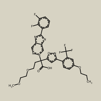 CCCOc1ccc(-c2cc(C(CCOCCOC)(C(=O)O)n3cc4nc(-c5cccc(F)c5F)nc-4cn3)on2)c(C(F)(F)F)c1